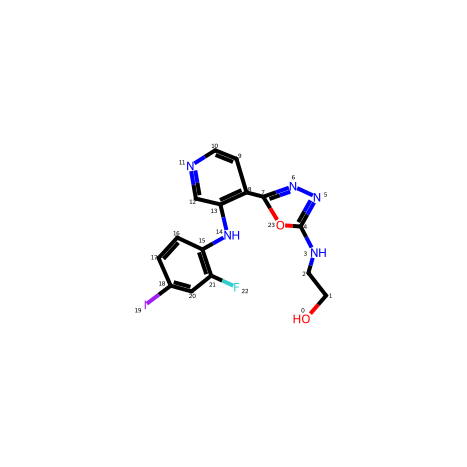 OCCNc1nnc(-c2ccncc2Nc2ccc(I)cc2F)o1